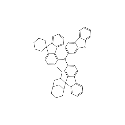 CCC1CC2CCCC(C2)C12c1ccccc1-c1ccc(N(c3ccc4c(c3)sc3ccccc34)c3cccc4c3-c3ccccc3C43CCCCC3)cc12